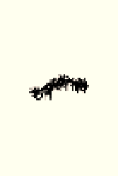 CCC(CC)(c1ccc(C#CC2(O)CCC2)c(C)c1)c1ccc(OCCCCc2nnn[nH]2)c(C)c1